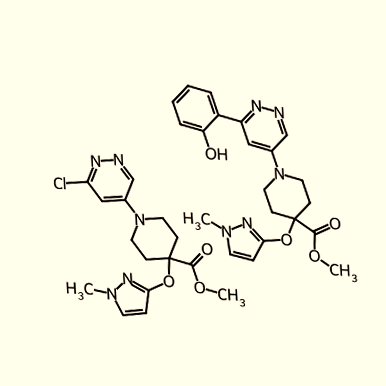 COC(=O)C1(Oc2ccn(C)n2)CCN(c2cnnc(-c3ccccc3O)c2)CC1.COC(=O)C1(Oc2ccn(C)n2)CCN(c2cnnc(Cl)c2)CC1